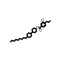 CCCCCCCCCC1CCC(C2CCC(OC(=O)c3ccc(CCC)c(Cl)c3)CC2)CC1